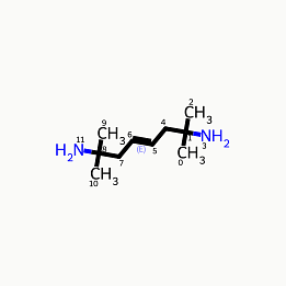 CC(C)(N)C/C=C/CC(C)(C)N